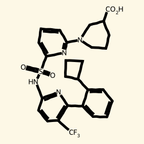 O=C(O)C1CCCN(c2cccc(S(=O)(=O)Nc3ccc(C(F)(F)F)c(-c4ccccc4C4CCC4)n3)n2)C1